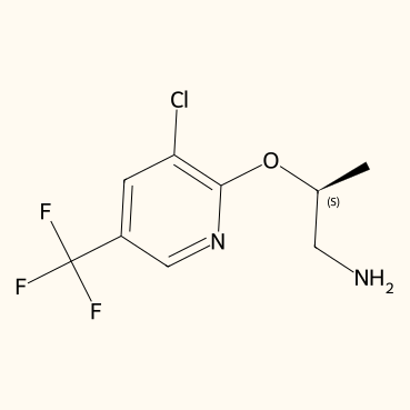 C[C@@H](CN)Oc1ncc(C(F)(F)F)cc1Cl